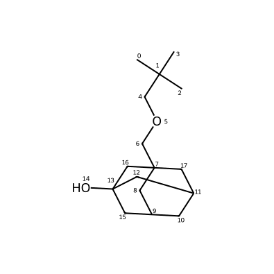 CC(C)(C)COCC12CC3CC(CC(O)(C3)C1)C2